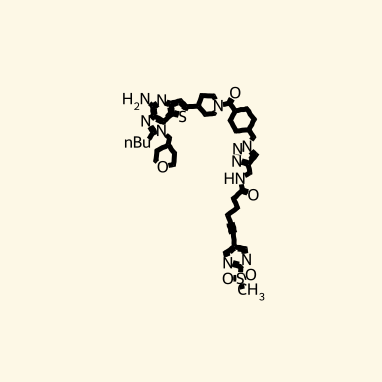 CCCCc1nc2c(N)nc3cc(C4CCN(C(=O)C5CCC(Cn6cc(CNC(=O)CCCC#Cc7cnc(S(C)(=O)=O)nc7)nn6)CC5)CC4)sc3c2n1CC1CCOCC1